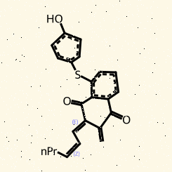 C=C1C(=O)c2cccc(Sc3ccc(O)cc3)c2C(=O)/C1=C/C=C\CCC